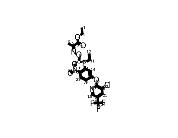 CCOC(=O)C(C)=NOSP(CC)c1cc(Oc2ncc(C(F)(F)F)cc2Cl)ccc1[N+](=O)[O-]